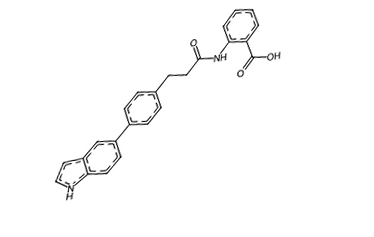 O=C(CCc1ccc(-c2ccc3[nH]ccc3c2)cc1)Nc1ccccc1C(=O)O